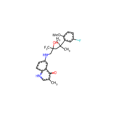 COc1ccc(F)cc1C(C)(C)CC(O)(CNc1ccc2[nH]cc(C)c(=O)c2c1)C(F)(F)F